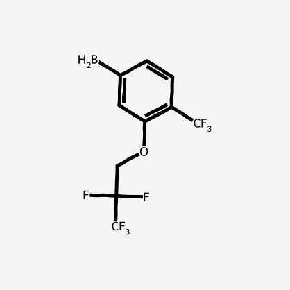 Bc1ccc(C(F)(F)F)c(OCC(F)(F)C(F)(F)F)c1